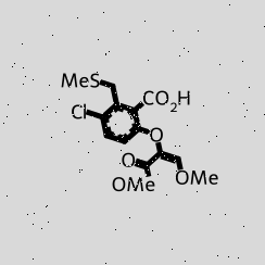 CO/C=C(/Oc1ccc(Cl)c(CSC)c1C(=O)O)C(=O)OC